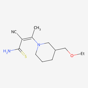 CCOCC1CCCN(C(C)=C(C#N)C(N)=S)C1